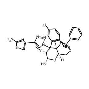 CO[C@H]1[C@@H](S)O[C@@H]2COC(c3ccccc3)O[C@@H]2C1(c1cc(Cl)ccc1C#N)n1cc(-c2csc(N)n2)nn1